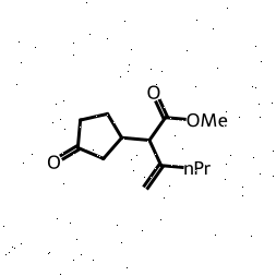 C=C(CCC)C(C(=O)OC)C1CCC(=O)C1